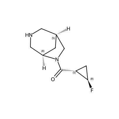 O=C([C@@H]1C[C@H]1F)N1C[C@@H]2CNC[C@H]1C2